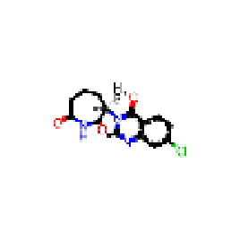 B[C@@]1(n2c(C)nc3cc(Cl)ccc3c2=O)CCCC(=O)NC1=O